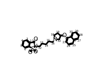 O=C1c2ccccc2S(=O)(=O)N1CCCCCN1CCC(Oc2cccc3ccccc23)C1